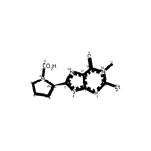 CCc1nc2sc([C@H]3CCCN3C(=O)O)nc2c(=O)n1C